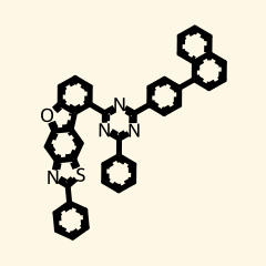 c1ccc(-c2nc(-c3ccc(-c4cccc5ccccc45)cc3)nc(-c3cccc4oc5cc6nc(-c7ccccc7)sc6cc5c34)n2)cc1